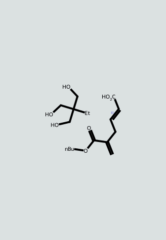 C=C(C/C=C/C(=O)O)C(=O)OCCCC.CCC(CO)(CO)CO